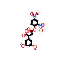 COc1cc(OC)cc(C(CC(=O)Oc2ccc([N+](=O)[O-])cc2[N+](=O)[O-])C(=O)O)c1